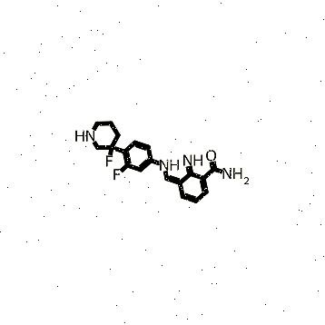 N=C1C(C(N)=O)=CC=C/C1=C/Nc1ccc(C2(F)CCCNC2)c(F)c1